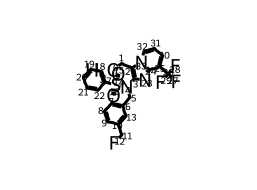 CCc1c(N(Cc2cccc(CF)c2)S(=O)(=O)c2ccccc2)nc2c(C(F)(F)F)cccn12